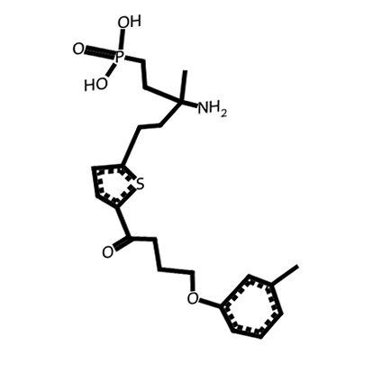 Cc1cccc(OCCCC(=O)c2ccc(CCC(C)(N)CCP(=O)(O)O)s2)c1